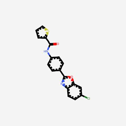 O=C(Nc1ccc(-c2nc3ccc(Cl)cc3o2)cc1)c1cccs1